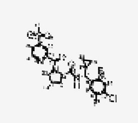 C[C@@H]1C[C@H](C(=O)N[C@@H](c2cc(F)c(Cl)cc2F)C2CC2)N(C(=O)c2cc(S(C)(=O)=O)ccn2)C1